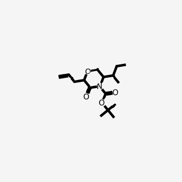 C=CCC1OCC(C(C)CC)N(C(=O)OC(C)(C)C)C1=O